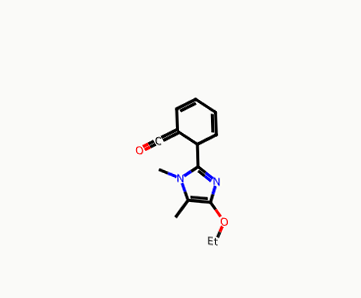 CCOc1nc(C2C=CC=CC2=C=O)n(C)c1C